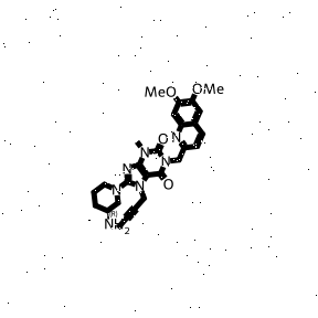 CC#CCn1c(N2CCC[C@@H](N)C2)nc2c1c(=O)n(Cc1ccc3cc(OC)c(OC)cc3n1)c(=O)n2C